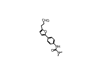 CN(C)C(=O)Nc1ccc(-c2ccc(CCC=O)o2)cc1